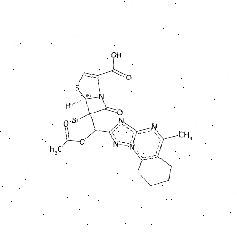 CC(=O)OC(c1nc2nc(C)c3c(n2n1)CCCC3)C1(Br)C(=O)N2C(C(=O)O)=CS[C@@H]21